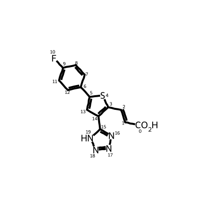 O=C(O)C=Cc1sc(-c2ccc(F)cc2)cc1-c1nnn[nH]1